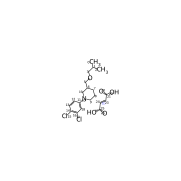 CC(C)COCC1CCCN(c2ccc(Cl)c(Cl)c2)C1.O=C(O)/C=C/C(=O)O